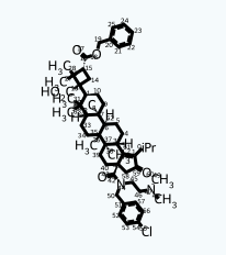 CC(C)C1=C2[C@H]3CC[C@@H]4[C@]5(C)CC[C@H]([C@@]6(C(=O)O)C[C@@H](C(=O)OCc7ccccc7)C6(C)C)C(C)(C)[C@H]5CC[C@@]4(C)[C@]3(C)CC[C@@]2(C(=O)N(CCN(C)C)Cc2ccc(Cl)cc2)CC1=O